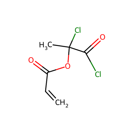 C=CC(=O)OC(C)(Cl)C(=O)Cl